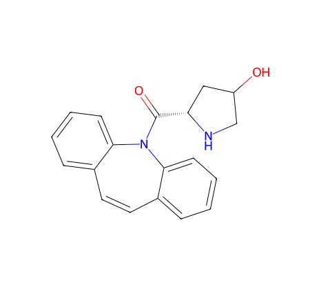 O=C([C@@H]1CC(O)CN1)N1c2ccccc2C=Cc2ccccc21